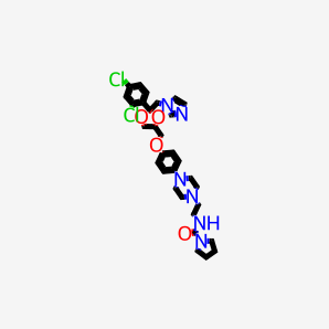 O=C(NCCN1CCN(c2ccc(OCC3COC(Cn4ccnc4)(c4ccc(Cl)cc4Cl)O3)cc2)CC1)N1CCCC1